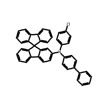 Clc1ccc(N(c2ccc(-c3ccccc3)cc2)c2ccc3c(c2)C2(c4ccccc4-c4ccccc42)c2ccccc2-3)cc1